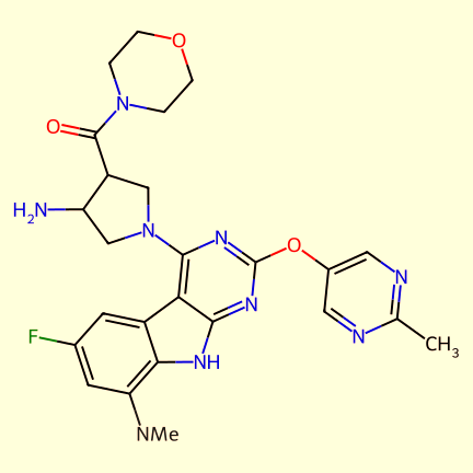 CNc1cc(F)cc2c1[nH]c1nc(Oc3cnc(C)nc3)nc(N3CC(N)C(C(=O)N4CCOCC4)C3)c12